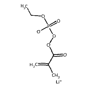 C=C(C)C(=O)OOP(=O)([O-])OCC.[Li+]